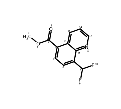 COC(=O)c1ccc(C(F)F)c2ncccc12